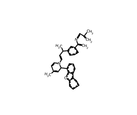 C=C(C)/C=N\C(=C)c1cccc(C(C)/C=C/N2C=CC(C)=CC2c2cccc3c2oc2ccccc23)c1